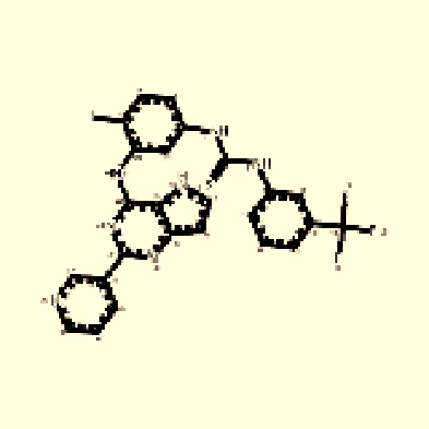 Cc1ccc(NC(=S)Nc2cccc(C(F)(F)F)c2)cc1Nc1nc(-c2cccnc2)nc2cc[nH]c12